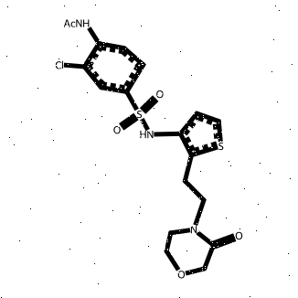 CC(=O)Nc1ccc(S(=O)(=O)Nc2ccsc2CCN2CCOCC2=O)cc1Cl